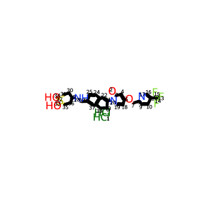 Cl.Cl.O=c1cc(OCc2ccc(C(F)(F)F)cn2)ccn1C1=Cc2ccc(CNC3CCS(O)(O)CC3)cc2CC1